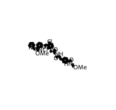 COCCNC(=O)c1ccc(CCC(=O)NCC(=O)N(C)c2ccc(Cl)c(COc3cccc4c3nc(OC)n4Cc3ccccn3)c2Cl)cc1